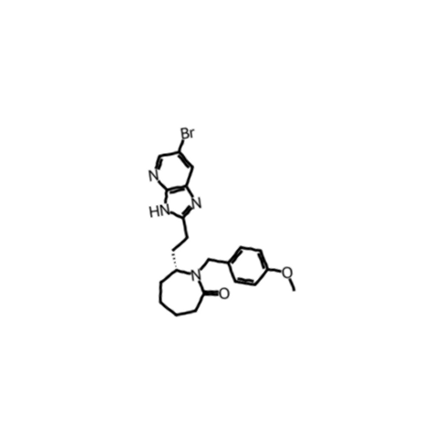 COc1ccc(CN2C(=O)CCCC[C@@H]2CCc2nc3cc(Br)cnc3[nH]2)cc1